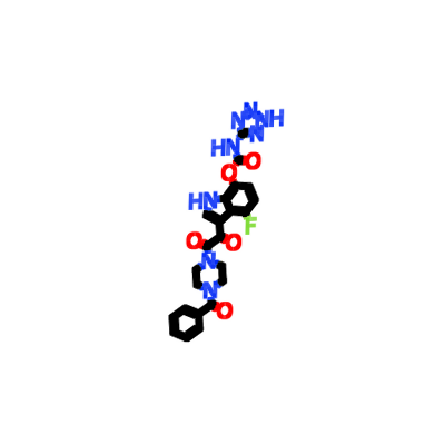 O=C(Nc1nn[nH]n1)Oc1ccc(F)c2c(C(=O)C(=O)N3CCN(C(=O)c4ccccc4)CC3)c[nH]c12